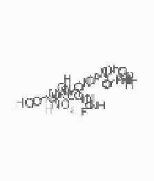 [2H]C([2H])([2H])Oc1ccc(CN2CCN(C3CC4(CCN(c5ccc(C(=O)NS(=O)(=O)c6cnc(NCC7CCC(C)(O)CC7)c([N+](=O)[O-])c6)c(Oc6cnc7[nH]cc(F)c7c6)c5)CC4)C3)[C@H](c3ccccc3C(C)C)C2)cc1